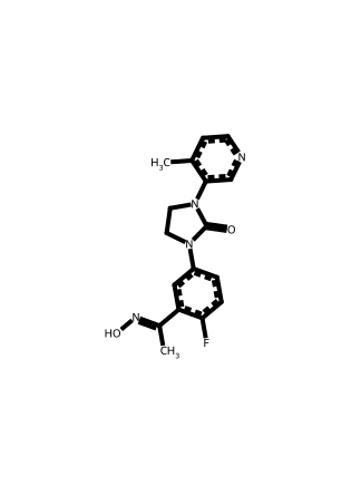 C/C(=N\O)c1cc(N2CCN(c3cnccc3C)C2=O)ccc1F